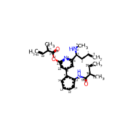 C=CCC(NC)c1cc(-c2ccccc2NC(=O)C(C)C=C)cc(OC(=O)C(C)C=C)n1